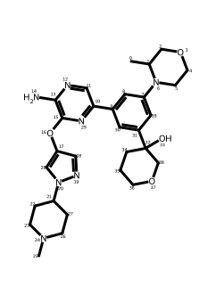 CC1COCCN1c1cc(-c2cnc(N)c(Oc3cnn(C4CCN(C)CC4)c3)n2)cc(C2(O)CCCOC2)c1